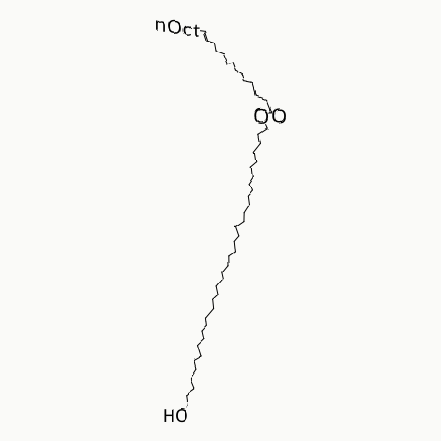 CCCCCCCCC=CCCCCCCCCCCCC(=O)OCCCCCCCCCCCCCCCCCCCCCCCCCCCCCCCCCCCCCO